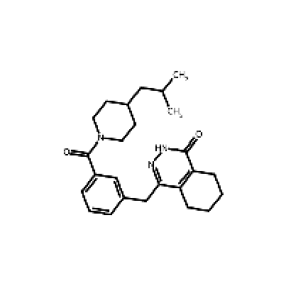 CC(C)CC1CCN(C(=O)c2cccc(Cc3n[nH]c(=O)c4c3CCCC4)c2)CC1